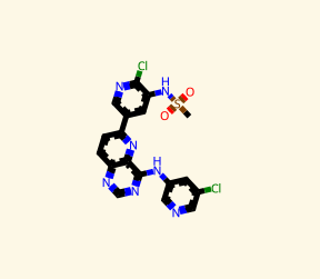 CS(=O)(=O)Nc1cc(-c2ccc3ncnc(Nc4cncc(Cl)c4)c3n2)cnc1Cl